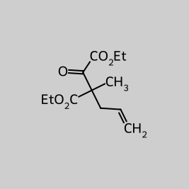 C=CCC(C)(C(=O)OCC)C(=O)C(=O)OCC